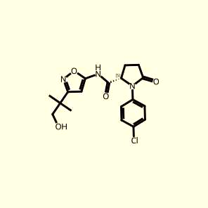 CC(C)(CO)c1cc(NC(=O)[C@@H]2CCC(=O)N2c2ccc(Cl)cc2)on1